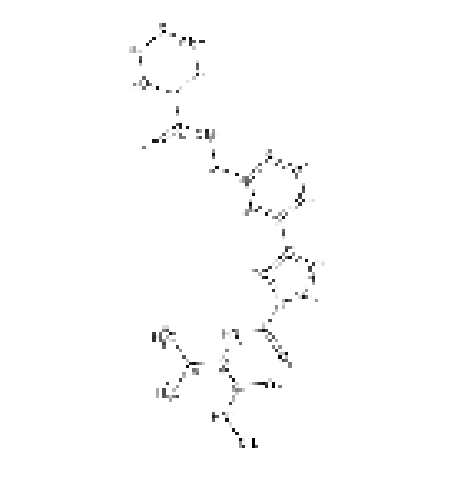 CNC(=O)[C@@H](NC(=O)c1ccc(-c2cccc(CNC(=O)C3CNCCO3)c2)o1)C(C)C